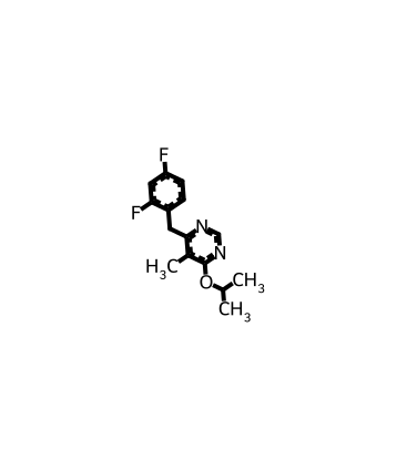 Cc1c(Cc2ccc(F)cc2F)ncnc1OC(C)C